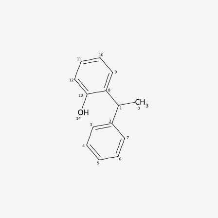 CC(c1ccccc1)c1ccccc1O